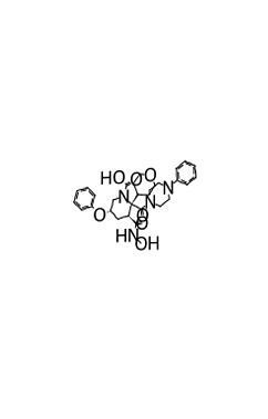 O=C(NO)[C@H]1C[C@H](Oc2ccccc2)CN(C(=O)O)[C@@]1(C(=O)N1CCN(c2ccccc2)CC1)C1CCOCC1